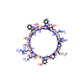 CCCC[C@H]1C(=O)N(C)[C@@H](CCCC)C(=O)N[C@@H](CCCNC(=N)N)C(=O)N[C@H](C(=O)NCC(N)=O)CSCC(=O)N[C@@H](Cc2ccc(O)cc2)C(=O)N2CCCC[C@H]2C(=O)N[C@@H](CCC(=O)O)C(=O)N2CCC[C@H]2C(=O)N[C@@H](Cc2c[nH]cn2)C(=O)N[C@@H](CCCN)C(=O)N2C[C@H](O)C[C@H]2C(=O)N[C@@H](Cc2c[nH]c3ccccc23)C(=O)N[C@@H](CCO)C(=O)N[C@@H](Cc2c[nH]c3ccccc23)C(=O)N1C